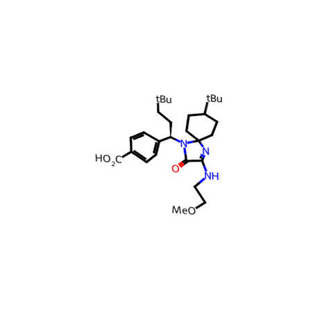 COCCNC1=NC2(CCC(C(C)(C)C)CC2)N([C@H](CCC(C)(C)C)c2ccc(C(=O)O)cc2)C1=O